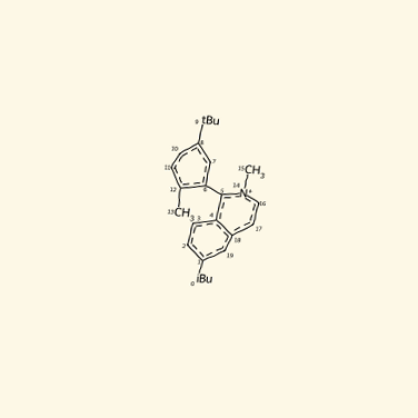 CCC(C)c1ccc2c(-c3cc(C(C)(C)C)ccc3C)[n+](C)ccc2c1